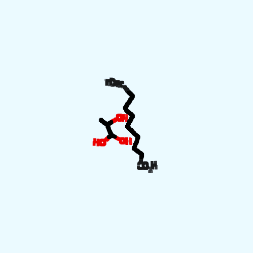 CC(O)C(O)O.CCCCCCCCCCCCCCCCCC(=O)O